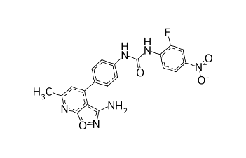 Cc1cc(-c2ccc(NC(=O)Nc3ccc([N+](=O)[O-])cc3F)cc2)c2c(N)noc2n1